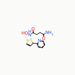 C1=CC(c2ccccn2)SS1.NC(=O)CCC(=O)NO